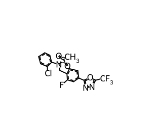 CS(=O)(=O)N(Cc1ccc(-c2nnc(C(F)(F)F)o2)cc1F)c1ccccc1Cl